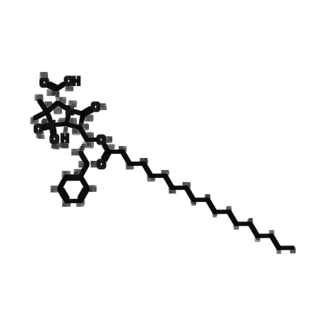 CCCCCCCCCCCCCCCCCC(=O)O[C@H](CCc1ccccc1)[C@@H]1C(=O)N2[C@@H](C(=O)O)C(C)(C)S(=O)(=O)[C@H]12